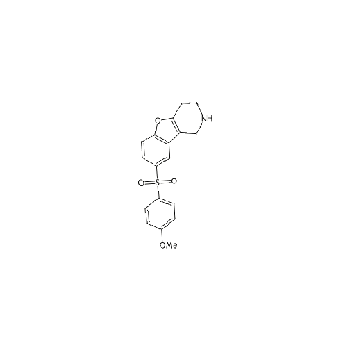 COc1ccc(S(=O)(=O)c2ccc3oc4c(c3c2)CNCC4)cc1